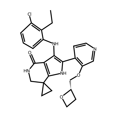 CCc1c(Cl)cccc1Nc1c(-c2ccncc2OC[C@@H]2CCO2)[nH]c2c1C(=O)NCC21CC1